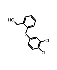 OCc1ccccc1Sc1ccc(Cl)c(Cl)c1